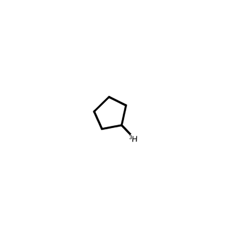 [3H]C1CCCC1